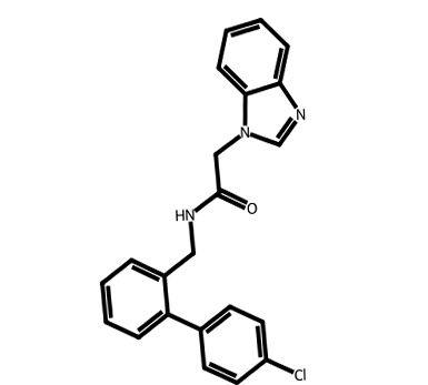 O=C(Cn1cnc2ccccc21)NCc1ccccc1-c1ccc(Cl)cc1